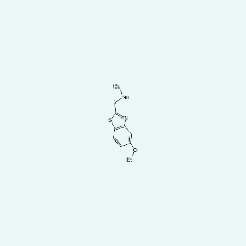 CCOc1ccc2sc(SNC(C)(C)C)nc2c1